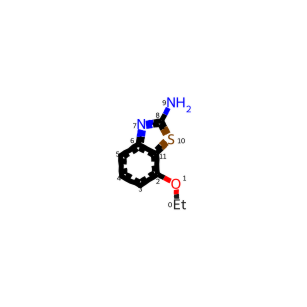 CCOc1cccc2nc(N)sc12